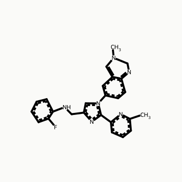 Cc1cccc(-c2nc(CNc3ccccc3F)cn2-c2ccc3c(c2)=CN(C)CN=3)n1